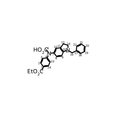 CCOC(=O)c1ccc(N(C(=O)O)c2ccc3c(c2)CCN3Cc2ccccc2)cc1